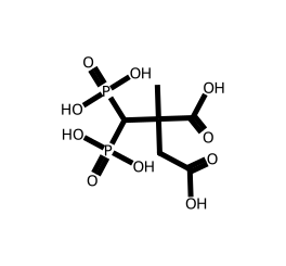 CC(CC(=O)O)(C(=O)O)C(P(=O)(O)O)P(=O)(O)O